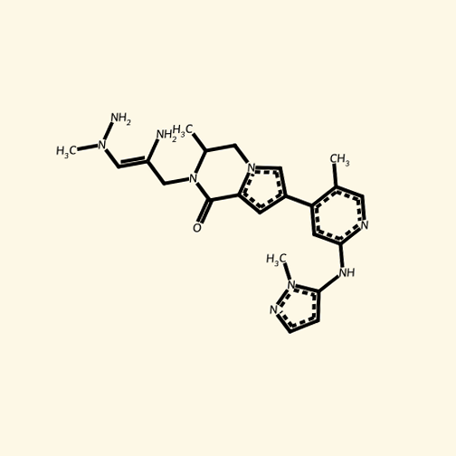 Cc1cnc(Nc2ccnn2C)cc1-c1cc2n(c1)CC(C)N(C/C(N)=C/N(C)N)C2=O